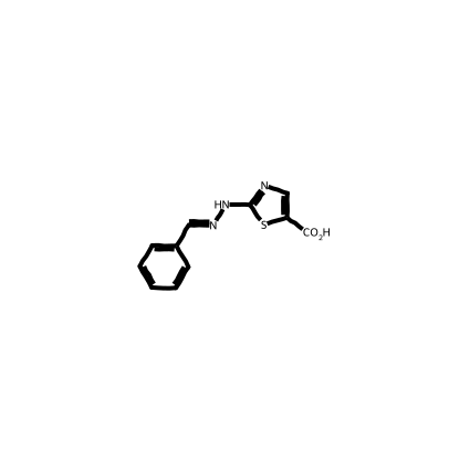 O=C(O)c1cnc(NN=Cc2ccccc2)s1